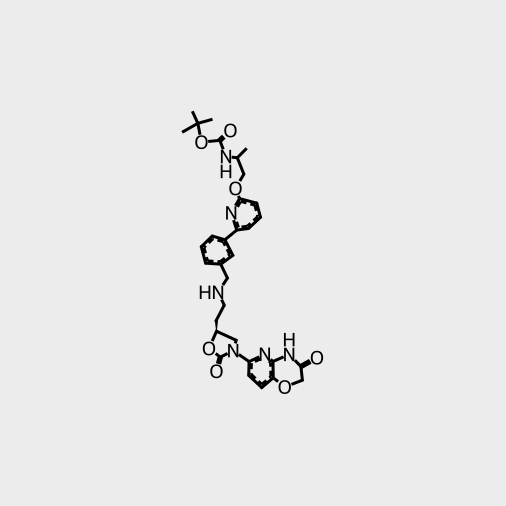 CC(COc1cccc(-c2cccc(CNCC[C@H]3CN(c4ccc5c(n4)NC(=O)CO5)C(=O)O3)c2)n1)NC(=O)OC(C)(C)C